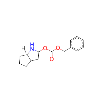 O=C(OCc1ccccc1)OC1CC2CCC[C@H]2N1